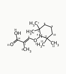 C/C(=C\ON1C(C)(C)CCCC1(C)C)C(=O)O